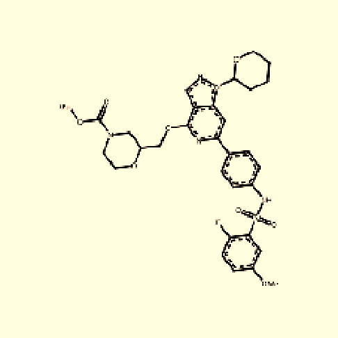 COc1ccc(F)c(S(=O)(=O)Nc2ccc(-c3cc4c(cnn4C4CCCCO4)c(OCC4CN(C(=O)OC(C)(C)C)CCO4)n3)cc2)c1